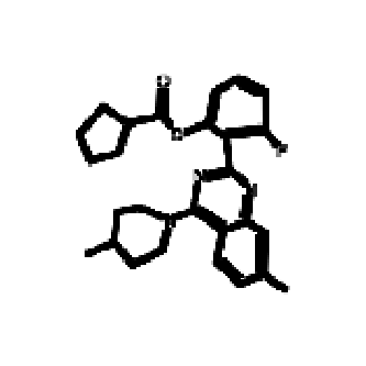 Cc1ccc2c(N3CCC(C)CC3)nc(-c3c(F)cccc3OC(=O)C3CCCC3)nc2c1